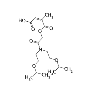 CC(=CC(=O)O)C(=O)OCC(=O)N(CCOC(C)C)CCOC(C)C